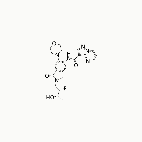 C[C@H](O)[C@@H](F)CN1Cc2cc(NC(=O)c3cnn4cccnc34)c(N3CCOCC3)cc2C1=O